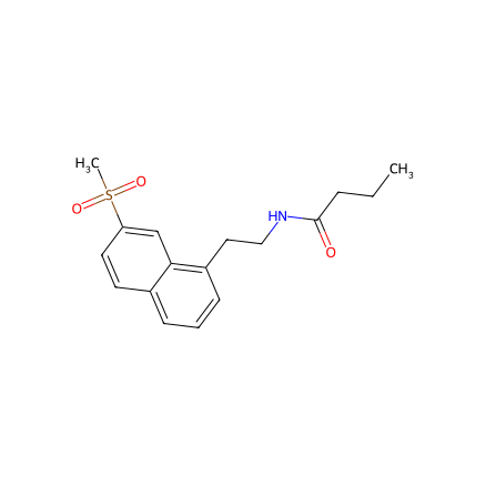 CCCC(=O)NCCc1cccc2ccc(S(C)(=O)=O)cc12